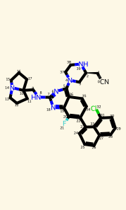 N#CC[C@H]1CN(c2nc(NCC34CCCN3CCC4)nc3c(F)c(-c4cccc5cccc(Cl)c45)ccc23)CCN1